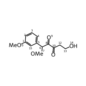 COc1cccc(C(OC)C(=O)C(=O)CCO)c1